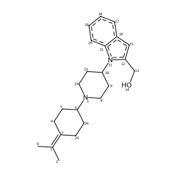 CC(C)=C1CCC(N2CCC(n3c(CO)cc4ccccc43)CC2)CC1